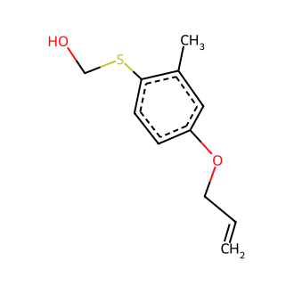 C=CCOc1ccc(SCO)c(C)c1